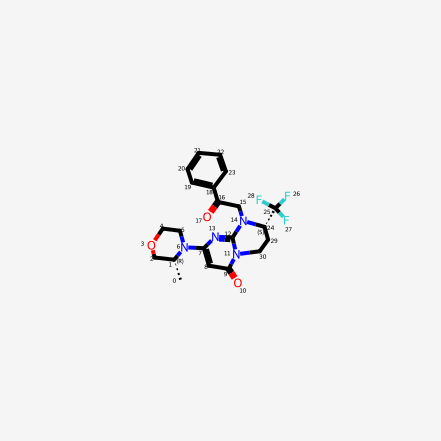 C[C@@H]1COCCN1c1cc(=O)n2c(n1)N(CC(=O)c1ccccc1)[C@H](C(F)(F)F)CC2